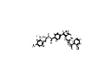 Cc1noc(-c2ccc(C(=O)N[C@H](Cc3ccc(C(F)(F)F)cc3)C(=O)O)cc2)c1NC(=O)O[C@H](C)c1ccccc1Cl